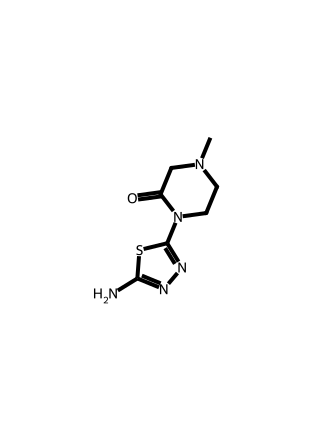 CN1CCN(c2nnc(N)s2)C(=O)C1